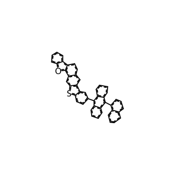 c1ccc2c(-c3c4ccccc4c(-c4ccc5sc6cc7c(ccc8c9ccccc9oc78)cc6c5c4)c4ccccc34)cccc2c1